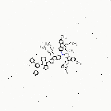 CCCCCCC1(CCCCCC)c2cc(-c3c4ccccc4c(-c4cc(-c5ccccc5)cc(-c5ccccc5)c4)c4ccccc34)ccc2-c2ccc(N(c3ccc4c(c3)C(CCCC)(CCCC)c3cc(C)ccc3-4)c3ccc4c(c3)C(CCCC)(CCCC)c3cc(C)ccc3-4)cc21